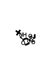 CCS(=O)(=O)N1CCO[C@@H](CNC(C)(C)C)C1